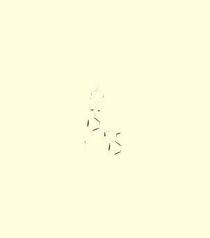 CCOc1ccc(S(=O)(=O)N2CCN(C)CC2)cc1-c1nc2ccccc2c(=O)[nH]1